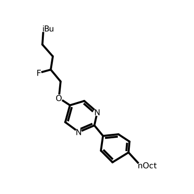 CCCCCCCCc1ccc(-c2ncc(OCC(F)CCC(C)CC)cn2)cc1